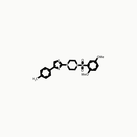 COc1ccc(OC)c(S(=O)(=O)N2CCN(c3nc(-c4ccc(C)cc4)cs3)CC2)c1